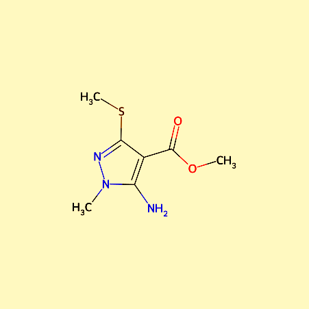 COC(=O)c1c(SC)nn(C)c1N